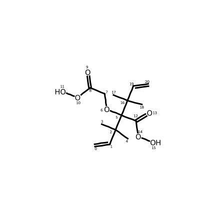 C=CC(C)(C)C(OCC(=O)OO)(C(=O)OO)C(C)(C)C=C